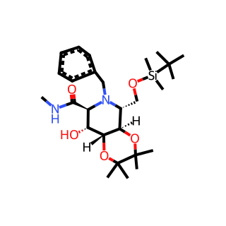 CNC(=O)[C@@H]1[C@@H](O)[C@H]2OC(C)(C)C(C)(C)O[C@@H]2[C@@H](CO[Si](C)(C)C(C)(C)C)N1Cc1ccccc1